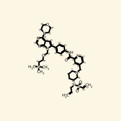 C=CCN([C@@H]1CCCN(Cc2ccnc(C(=O)Nc3ccc(-c4cc5c(N6CCOCC6)ncnc5n4COCC[Si](C)(C)C)cc3)c2)C1)S(=O)(=O)C=C